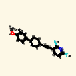 CCCCCOc1ccc(C2CCC(C#Cc3ccc(F)nc3F)CC2)cc1